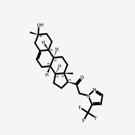 C[C@@]1(O)CC[C@H]2C(=CC[C@@H]3[C@@H]2CC[C@]2(C)[C@@H](C(=O)Cn4nccc4C(F)(F)F)CC[C@@H]32)C1